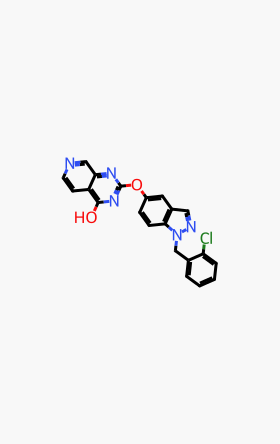 Oc1nc(Oc2ccc3c(cnn3Cc3ccccc3Cl)c2)nc2cnccc12